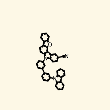 N#Cc1ccc2c(c1)c1c3oc4ccccc4c3ccc1n2-c1cccc(-c2cccc(-n3c4ccccc4c4ccccc43)c2)c1